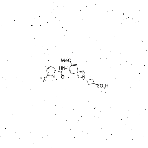 COc1cc2nn([C@H]3C[C@H](C(=O)O)C3)cc2cc1NC(=O)c1cccc(C(F)(F)F)n1